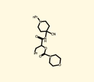 CCCN1CCC(C#N)(NC(=O)C(CC(C)C)OC(=O)N2CCOCC2)CC1